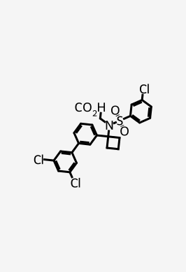 O=C(O)CN(C1(c2cccc(-c3cc(Cl)cc(Cl)c3)c2)CCC1)S(=O)(=O)c1cccc(Cl)c1